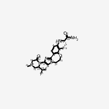 C[C@H](Nc1ccc2c(c1F)OCCn1cc(N3C(=O)CN(C)CC3C(F)F)nc1-2)C(N)=O